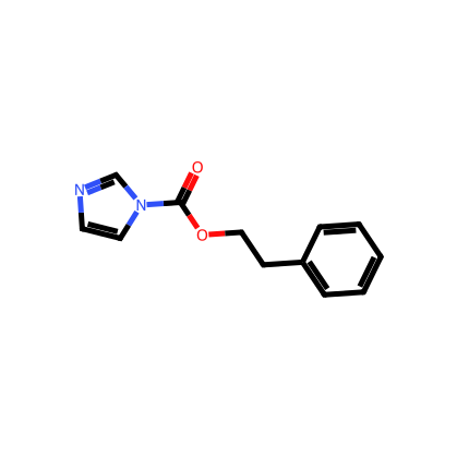 O=C(OCCc1ccccc1)n1ccnc1